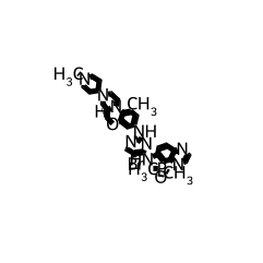 Cc1cc(Nc2ncc(Br)c(Nc3ccc4nccnc4c3P(C)(C)=O)n2)cc2c1N1CCN(C3CCN(C)CC3)C[C@@H]1CO2